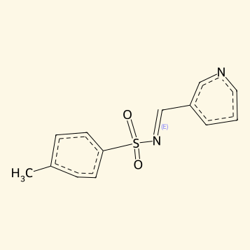 Cc1ccc(S(=O)(=O)/N=C/c2cccnc2)cc1